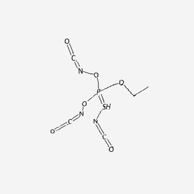 CCOP(ON=C=O)(ON=C=O)=[SH]N=C=O